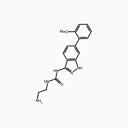 COc1ccccc1-c1ccc2c(NC(=O)NCCN)n[nH]c2c1